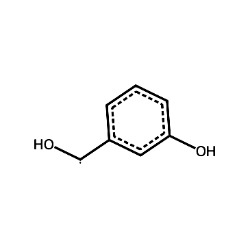 O[CH]c1cccc(O)c1